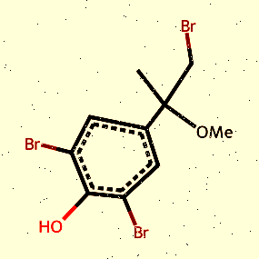 COC(C)(CBr)c1cc(Br)c(O)c(Br)c1